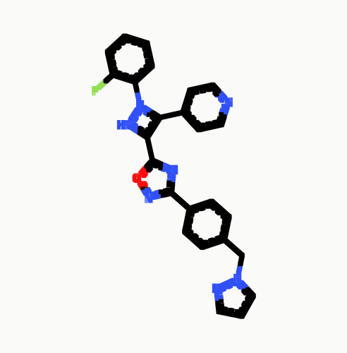 Fc1ccccc1-n1[nH]c(-c2nc(-c3ccc(Cn4cccn4)cc3)no2)c1-c1ccncc1